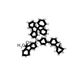 CC1(C)c2ccccc2-c2ccc(N(c3ccc(-c4ccc5sc6ccccc6c5c4)cc3)c3ccc4c(c3)C(c3ccccc3)(c3ccccc3)c3ccccc3-4)cc21